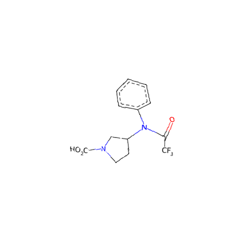 O=C(O)N1CCC(N(C(=O)C(F)(F)F)c2ccccc2)C1